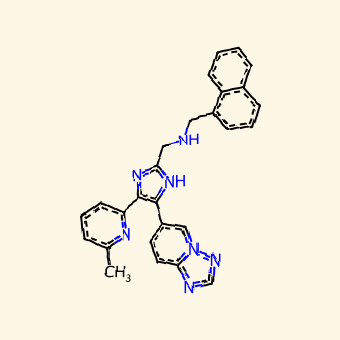 Cc1cccc(-c2nc(CNCc3cccc4ccccc34)[nH]c2-c2ccc3ncnn3c2)n1